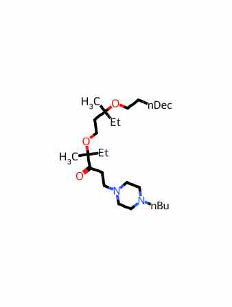 CCCCCCCCCCCCOC(C)(CC)CCOC(C)(CC)C(=O)CCN1CCN(CCCC)CC1